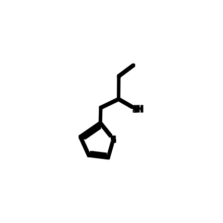 CCC(S)Cc1cccs1